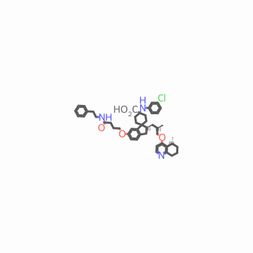 C[C@@H](COc1ccnc2c1[C@H](C)CCC2)C[C@H]1Cc2ccc(OCCCC(=O)NCCc3ccccc3)cc2C12CCC(Nc1cccc(Cl)c1)(C(=O)O)CC2